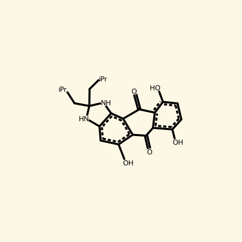 CC(C)CC1(CC(C)C)Nc2cc(O)c3c(c2N1)C(=O)c1c(O)ccc(O)c1C3=O